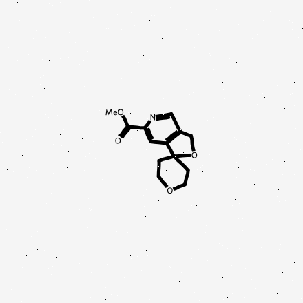 COC(=O)c1cc2c(cn1)COC21CCOCC1